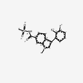 Cn1cc(-c2cccc(F)c2F)c2ccc(C(=O)NS(C)(=O)=O)cc21